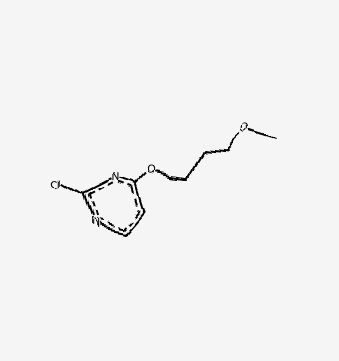 COCCCOc1ccnc(Cl)n1